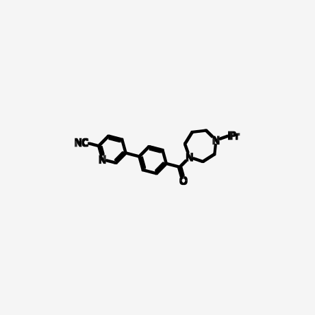 CC(C)N1CCCN(C(=O)c2ccc(-c3ccc(C#N)nc3)cc2)CC1